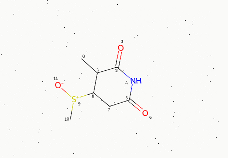 CC1C(=O)NC(=O)CC1[S+](C)[O-]